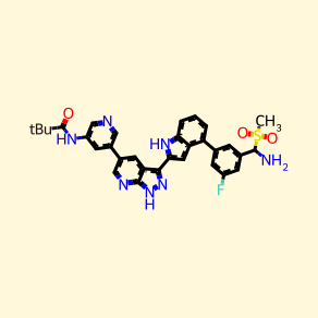 CC(C)(C)C(=O)Nc1cncc(-c2cnc3[nH]nc(-c4cc5c(-c6cc(F)cc(C(N)S(C)(=O)=O)c6)cccc5[nH]4)c3c2)c1